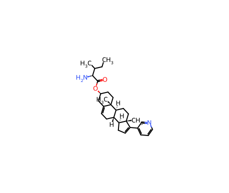 CCC(C)[C@H](N)C(=O)O[C@H]1CC[C@@]2(C)C(=CC[C@@H]3[C@@H]2CC[C@]2(C)C(c4cccnc4)=CC[C@@H]32)C1